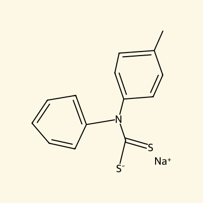 Cc1ccc(N(C(=S)[S-])c2ccccc2)cc1.[Na+]